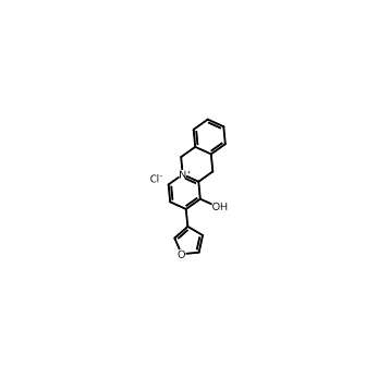 Oc1c(-c2ccoc2)cc[n+]2c1Cc1ccccc1C2.[Cl-]